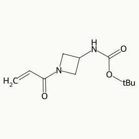 C=CC(=O)N1CC(NC(=O)OC(C)(C)C)C1